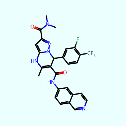 CC1=C(C(=O)Nc2ccc3cnccc3c2)C(c2ccc(C(F)(F)F)c(F)c2)n2nc(C(=O)N(C)C)cc2N1